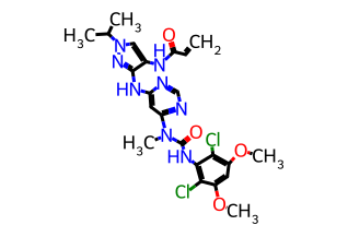 C=CC(=O)Nc1cn(C(C)C)nc1Nc1cc(N(C)C(=O)Nc2c(Cl)c(OC)cc(OC)c2Cl)ncn1